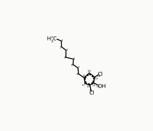 CCCCCCCCCc1cc(Cl)c(O)c(Cl)c1